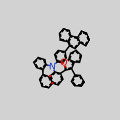 c1ccc(-c2ccccc2N(c2ccc(-c3cc4ccccc4c4ccccc34)cc2)c2ccccc2-c2oc3ccccc3c2-c2ccccc2)cc1